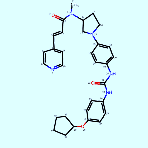 CN(C(=O)C=Cc1ccncc1)C1CCN(c2ccc(NC(=O)Nc3ccc(OC4CCCC4)cc3)cc2)C1